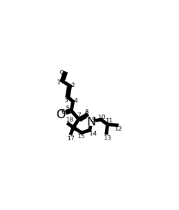 C=CC=CCC(=O)C1=CN(CC(C)C)CCC1(C)C